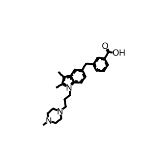 Cc1c(C)n(CCCN2CCN(C)CC2)c2ccc(Cc3cccc(C(=O)O)c3)cc12